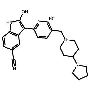 Cl.N#Cc1ccc2[nH]c(O)c(-c3ccc(CN4CCC(N5CCCC5)CC4)cn3)c2c1